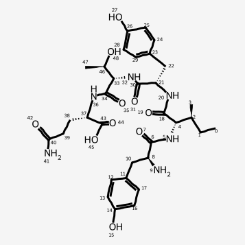 CC[C@H](C)[C@H](NC(=O)[C@@H](N)Cc1ccc(O)cc1)C(=O)N[C@@H](Cc1ccc(O)cc1)C(=O)N[C@H](C(=O)N[C@@H](CCC(N)=O)C(=O)O)[C@@H](C)O